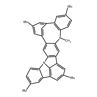 Cn1c2ccc(C(C)(C)C)cc2c2cc(C(C)(C)C)cc(c2)c2cc3c(cc21)c1cc(C(C)(C)C)cc2c4cc(C(C)(C)C)ccc4n3c21